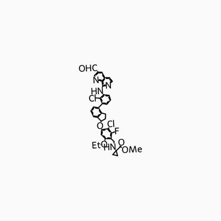 CCOc1cc(OC2CCc3c(-c4cccc(Nc5nccc6cc(C=O)cnc56)c4Cl)cccc32)c(Cl)c(F)c1CNC1(C(=O)OC)CC1